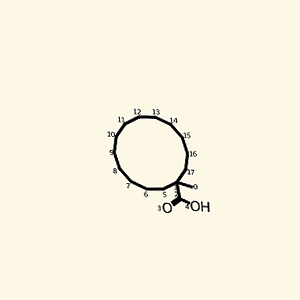 CC1(C(=O)O)CCCCCCCCCCCCC1